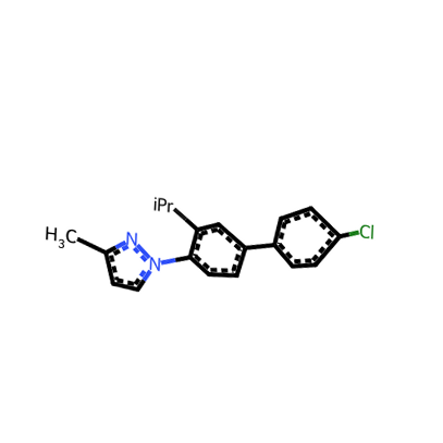 Cc1ccn(-c2ccc(-c3ccc(Cl)cc3)cc2C(C)C)n1